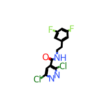 O=C(NCCc1cc(F)cc(F)c1)c1cc(Cl)nnc1Cl